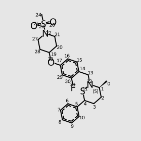 C[C@H]1CCC(c2ccccc2)SN1Cc1ccc(OC2CCN(S(C)(=O)=O)CC2)cc1F